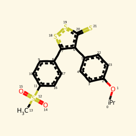 CC(C)Oc1ccc(-c2c(-c3ccc(S(C)(=O)=O)cc3)ssc2=S)cc1